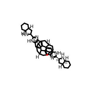 c1cc2[nH]c(C3C[C@@H]4CCCC[C@@H]4N3)nc2cc1C1C[C@H]2CC[C@@H]1CC[C@@H]1CC[C@H](CC2)C(c2ccc3[nH]c([C@@H]4C[C@@H]5CCCC[C@@H]5N4)nc3c2)C1